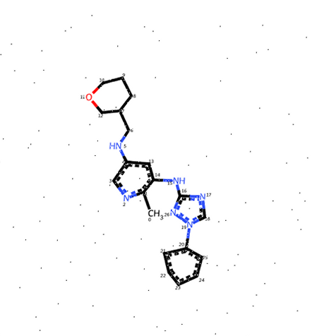 Cc1ncc(NCC2CCCOC2)cc1Nc1ncn(-c2ccccc2)n1